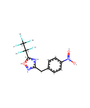 O=[N+]([O-])c1ccc(Cc2noc(C(F)(F)C(F)(F)F)n2)cc1